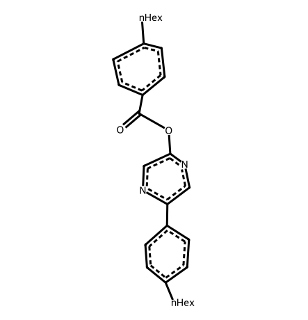 CCCCCCc1ccc(C(=O)Oc2cnc(-c3ccc(CCCCCC)cc3)cn2)cc1